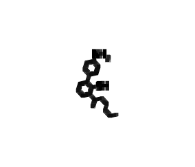 C=C(/C=C\C=C/C)c1cccc(-c2ccc(N)cc2)c1S